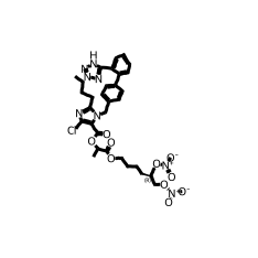 CCCCc1nc(Cl)c(C(=O)OC(C)C(=O)OCCCC[C@H](CO[N+](=O)[O-])O[N+](=O)[O-])n1Cc1ccc(-c2ccccc2-c2nnn[nH]2)cc1